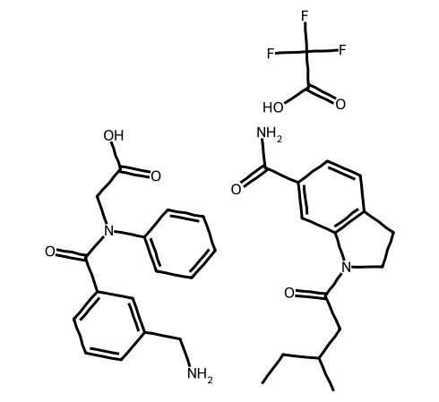 CCC(C)CC(=O)N1CCc2ccc(C(N)=O)cc21.NCc1cccc(C(=O)N(CC(=O)O)c2ccccc2)c1.O=C(O)C(F)(F)F